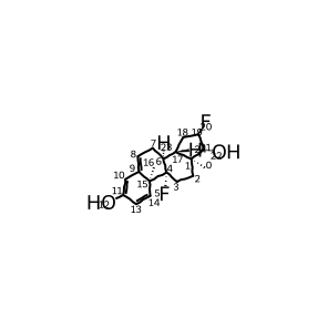 C[C@]12CC[C@]3(F)[C@@H](CC=C4C=C(O)C=C[C@@]43C)[C@@H]1C[C@@H](F)[C@@H]2O